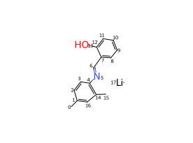 Cc1ccc(N=Cc2ccccc2O)c(C)c1.[Li]